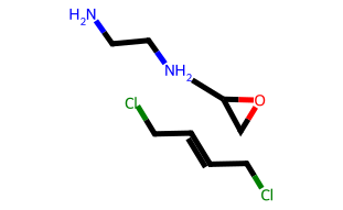 CC1CO1.ClCC=CCCl.NCCN